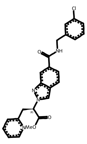 COC(=O)[C@@H](Cc1ccccn1)n1cc2ccc(C(=O)NCc3cccc(Cl)c3)cc2n1